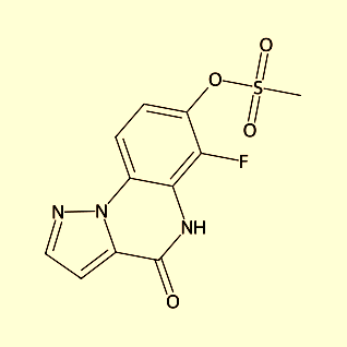 CS(=O)(=O)Oc1ccc2c([nH]c(=O)c3ccnn32)c1F